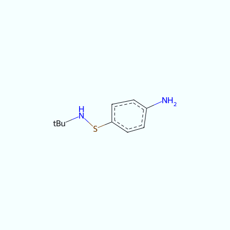 CC(C)(C)NSc1ccc(N)cc1